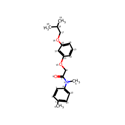 Cc1ccc(N(C)C(=O)COc2cccc(OCC(C)C)c2)cc1